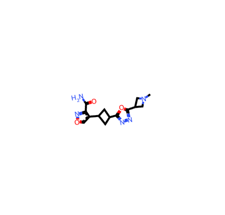 CN1CC(c2nnc(C3CC(c4conc4C(N)=O)C3)o2)C1